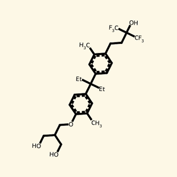 CCC(CC)(c1ccc(CCC(O)(C(F)(F)F)C(F)(F)F)c(C)c1)c1ccc(OCC(CO)CO)c(C)c1